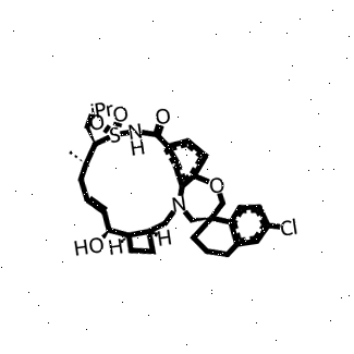 CC(C)C[C@@H]1[C@@H](C)C/C=C/[C@H](O)[C@@H]2CC[C@H]2CN2C[C@@]3(CCCc4cc(Cl)ccc43)COc3ccc(cc32)C(=O)NS1(=O)=O